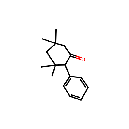 CC1(C)CC(=O)C(c2ccccc2)C(C)(C)C1